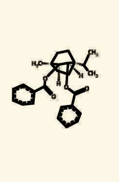 CC(C)[C@]12CC[C@](C)(CC1)[C@H](OC(=O)c1ccccc1)[C@@H]2OC(=O)c1ccccc1